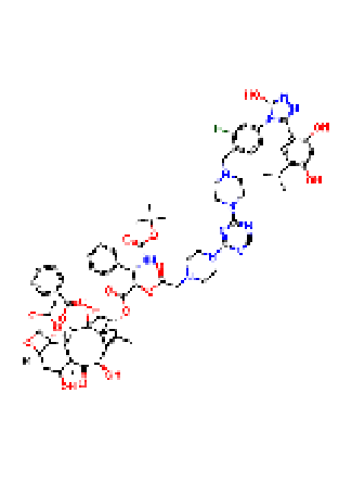 CC(=O)O[C@@]12CO[C@@H]1C[C@H](O)[C@@]1(C)C(=O)[C@H](O)C3=C(C)[C@@H](OC(=O)[C@H](OC(=O)CN4CCN(c5ncnc(N6CCN(Cc7ccc(-n8c(O)nnc8-c8cc(C(C)C)c(O)cc8O)cc7F)CC6)n5)CC4)[C@@H](NC(=O)OC(C)(C)C)c4ccccc4)C[C@@](O)([C@@H](OC(=O)c4ccccc4)[C@H]21)C3(C)C